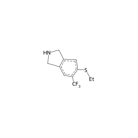 CCSc1cc2c(cc1C(F)(F)F)CNC2